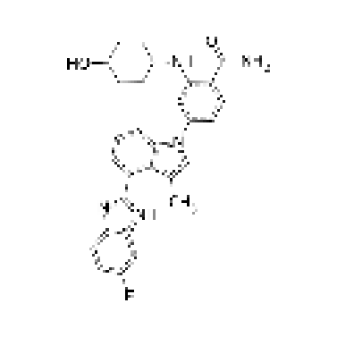 Cc1cn(-c2ccc(C(N)=O)c(N[C@H]3CC[C@H](O)CC3)c2)c2cccc(-c3nc4ccc(F)cc4[nH]3)c12